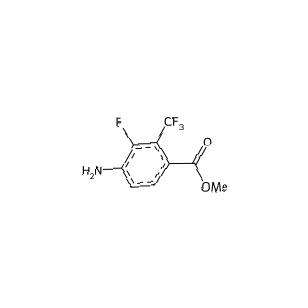 COC(=O)c1ccc(N)c(F)c1C(F)(F)F